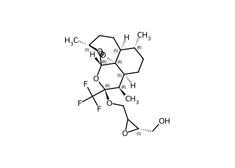 C[C@@H]1CC[C@H]2[C@@H](C)[C@](OCC3O[C@H]3CO)(C(F)(F)F)O[C@@H]3O[C@]4(C)CC[C@@H]1[C@]32OO4